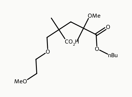 CCCCOC(=O)C(C)(CC(C)(COCCOC)C(=O)O)OC